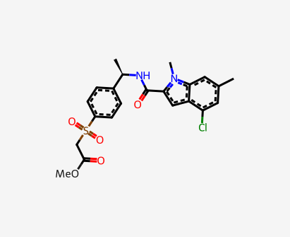 COC(=O)CS(=O)(=O)c1ccc([C@@H](C)NC(=O)c2cc3c(Cl)cc(C)cc3n2C)cc1